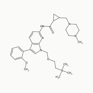 COc1ccccc1-c1cn(COCC[Si](C)(C)C)c2nc(NC(=O)C3CC3CN3CCN(C)CC3)ccc12